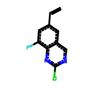 C=Cc1cc(F)c2nc(Cl)ncc2c1